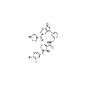 O=C(NCc1cccc(-c2c[nH]c3ncc(C(=O)N4CCNCC4)cc23)c1)c1cccn(Cc2ccc(F)c(F)c2)c1=O